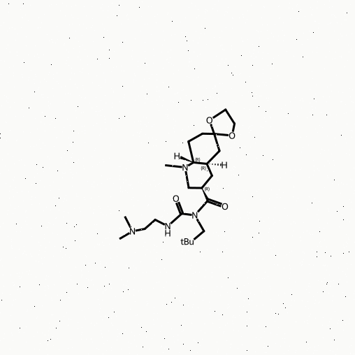 CN(C)CCNC(=O)N(CC(C)(C)C)C(=O)[C@@H]1C[C@@H]2CC3(CC[C@H]2N(C)C1)OCCO3